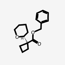 O=C(OCc1ccccc1)C1([C@H]2CCCCO2)CCC1